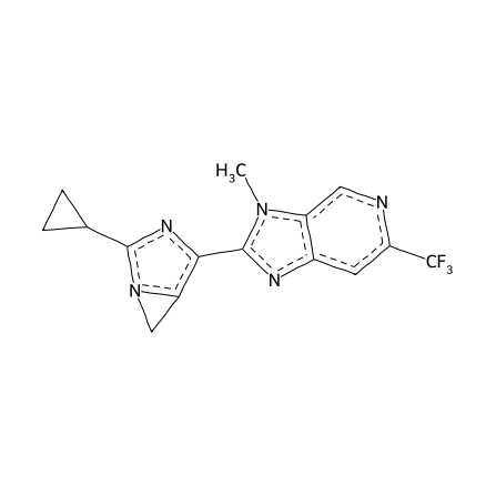 Cn1c(-c2nc(C3CC3)n3c2C3)nc2cc(C(F)(F)F)ncc21